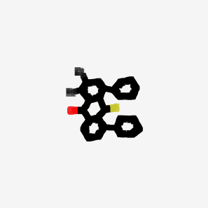 CCc1cc(-c2ccccc2)c2c(c1CC)C(=O)c1cccc(-c3ccccc3)c1C2=S